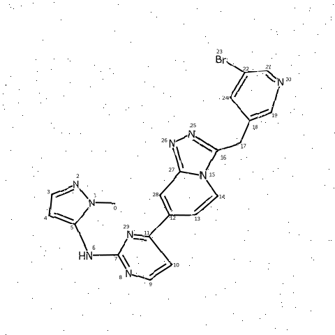 Cn1nccc1Nc1nccc(-c2ccn3c(Cc4cncc(Br)c4)nnc3c2)n1